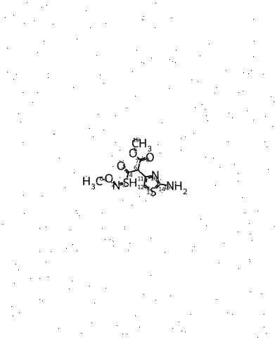 CO/N=[SH]\C(=O)C(C(=O)OC)c1csc(N)n1